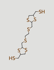 SCC1CSC(CSCCSCC2SCC(CS)S2)S1